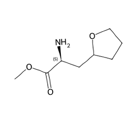 COC(=O)[C@@H](N)CC1CCCO1